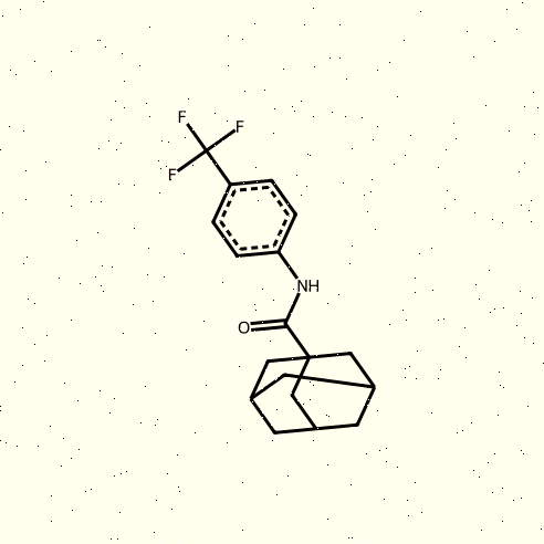 O=C(Nc1ccc(C(F)(F)F)cc1)C12CC3CC(CC(C3)C1)C2